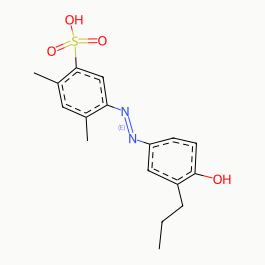 CCCc1cc(/N=N/c2cc(S(=O)(=O)O)c(C)cc2C)ccc1O